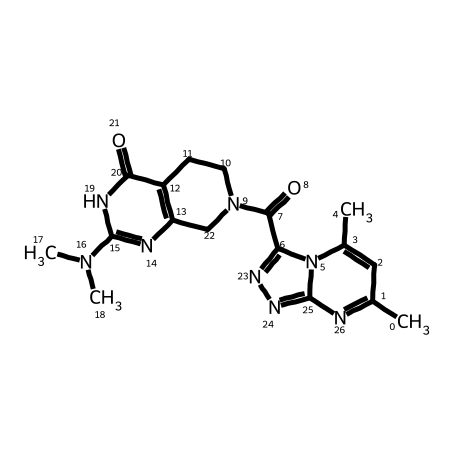 Cc1cc(C)n2c(C(=O)N3CCc4c(nc(N(C)C)[nH]c4=O)C3)nnc2n1